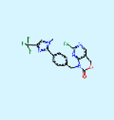 Cn1cc(C(F)(F)F)nc1-c1ccc(CN2C(=O)OCc3cnc(Cl)nc32)cc1